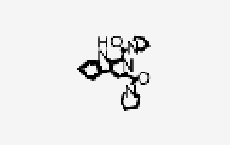 O=C(c1cc2c([nH]c3ccccc32)c(C(=O)N2CCCC2)n1)N1CCCCC1